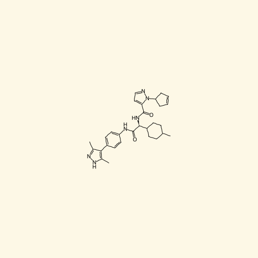 Cc1n[nH]c(C)c1-c1ccc(NC(=O)[C@@H](NC(=O)c2ccnn2C2CC=CC2)C2CCC(C)CC2)cc1